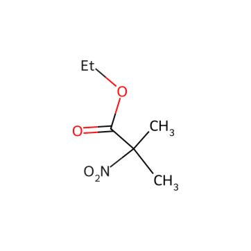 CCOC(=O)C(C)(C)[N+](=O)[O-]